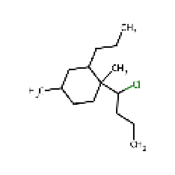 CCCC(Cl)C1(C)CCC(C)CC1CCC